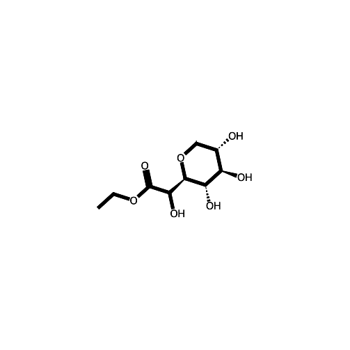 CCOC(=O)C(O)[C@H]1O[CH][C@H](O)[C@@H](O)[C@@H]1O